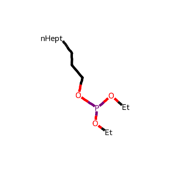 CCCCCCCCCCOP(OCC)OCC